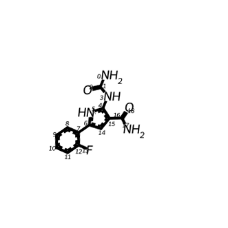 NC(=O)Nc1[nH]c(-c2ccccc2F)cc1C(N)=O